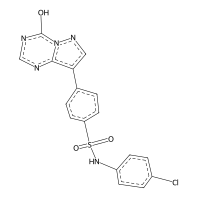 O=S(=O)(Nc1ccc(Cl)cc1)c1ccc(-c2cnn3c(O)ncnc23)cc1